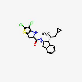 O=C(N[C@@H]1CC2C=CC=CC2[C@H]1C(CC1CC1)C(=O)O)C1Cc2sc(Cl)c(Cl)c2N1